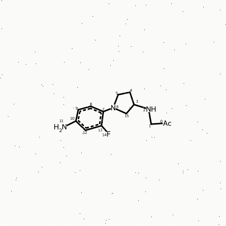 CC(=O)CNC1CCN(c2ccc(N)cc2F)C1